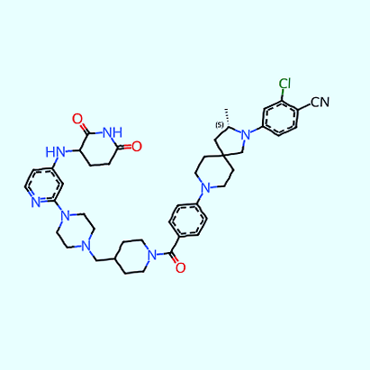 C[C@H]1CC2(CCN(c3ccc(C(=O)N4CCC(CN5CCN(c6cc(NC7CCC(=O)NC7=O)ccn6)CC5)CC4)cc3)CC2)CN1c1ccc(C#N)c(Cl)c1